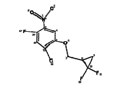 O=[N+]([O-])c1cc(OCC2CC2(F)F)c(Cl)cc1F